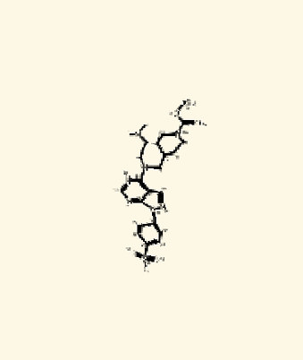 CN(C)CCN(CC1CCN(C(=O)OC(C)(C)C)CC1)c1ncnc2c1cnn2-c1ccc(S(C)(=O)=O)cc1